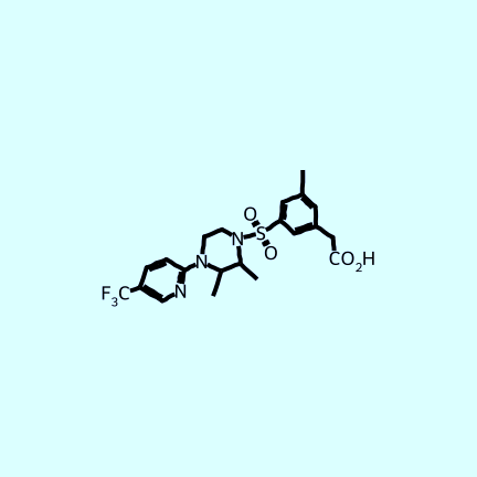 Cc1cc(CC(=O)O)cc(S(=O)(=O)N2CCN(c3ccc(C(F)(F)F)cn3)C(C)C2C)c1